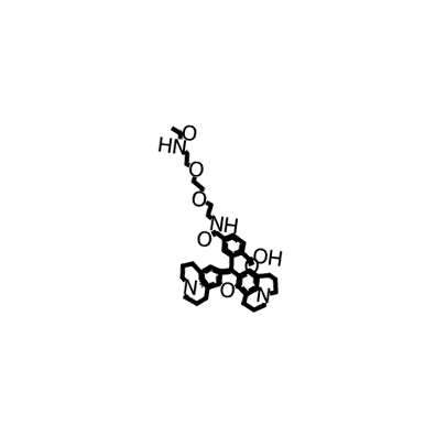 CC(=O)NCCOCCOCCNC(=O)c1ccc(C(=O)O)c(C2=c3cc4c5c(c3Oc3c2cc2c6c3CCCN6CCC2)CCC[N+]=5CCC4)c1